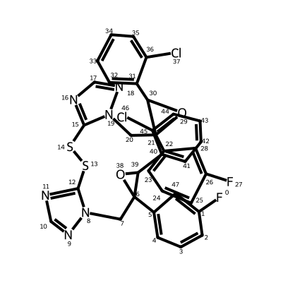 Fc1cccc(C2(Cn3ncnc3SSc3ncnn3CC3(c4cccc(F)c4)OC3c3ccccc3Cl)OC2c2ccccc2Cl)c1